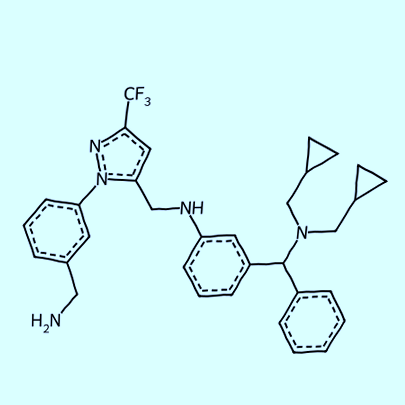 NCc1cccc(-n2nc(C(F)(F)F)cc2CNc2cccc(C(c3ccccc3)N(CC3CC3)CC3CC3)c2)c1